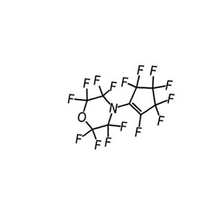 FC1=C(N2C(F)(F)C(F)(F)OC(F)(F)C2(F)F)C(F)(F)C(F)(F)C1(F)F